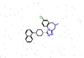 CN1Cc2cc(Cl)ccc2-n2c(nnc2[C@H]2CC[C@H](c3cccc4ccccc43)CC2)C1